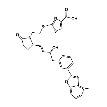 Cc1cccc2oc(-c3cccc(C[C@H](O)/C=C/[C@H]4CCC(=O)N4CCSc4nc(C(=O)O)cs4)c3)nc12